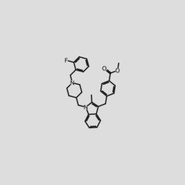 COC(=O)c1ccc(Cc2c(C)n(CC3CCN(Cc4ccccc4F)CC3)c3ccccc23)cc1